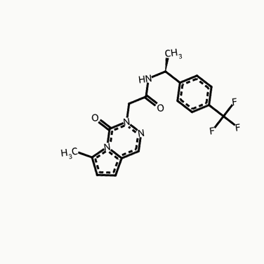 Cc1ccc2cnn(CC(=O)N[C@@H](C)c3ccc(C(F)(F)F)cc3)c(=O)n12